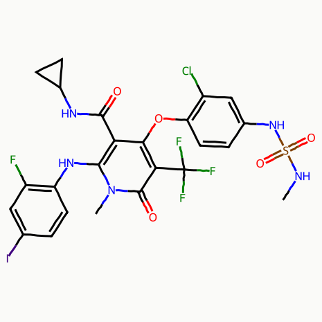 CNS(=O)(=O)Nc1ccc(Oc2c(C(=O)NC3CC3)c(Nc3ccc(I)cc3F)n(C)c(=O)c2C(F)(F)F)c(Cl)c1